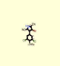 CSc1c(Cl)cc(-c2c(C#N)[nH]c(C#N)c2Br)cc1Cl